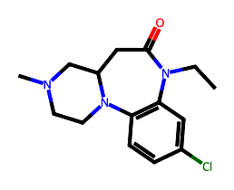 CCN1C(=O)CC2CN(C)CCN2c2ccc(Cl)cc21